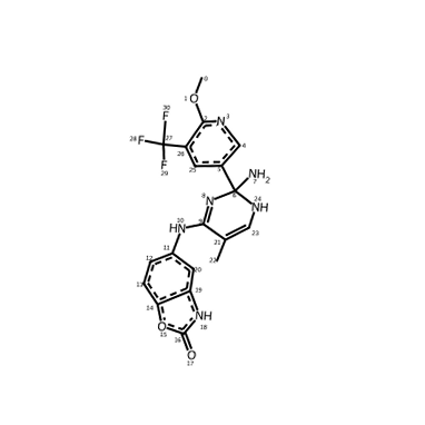 COc1ncc(C2(N)N=C(Nc3ccc4oc(=O)[nH]c4c3)C(C)=CN2)cc1C(F)(F)F